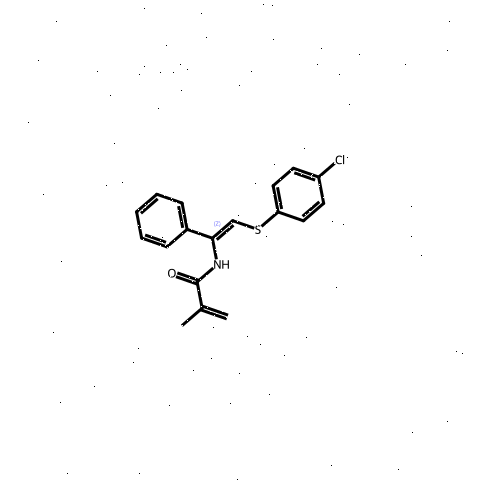 C=C(C)C(=O)N/C(=C\Sc1ccc(Cl)cc1)c1ccccc1